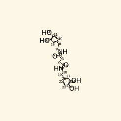 O=C(CCC(=O)NCCc1ccc(O)c(O)c1)NCCc1ccc(O)c(O)c1